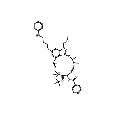 COCOc1cc(OCCCNc2ccccn2)cc2c1C(=O)OC(C)[C@H](C)/C=C\C(OC(=O)c1ccccc1)[C@H]1OC(C)(C)O[C@H]1C/C=C/2